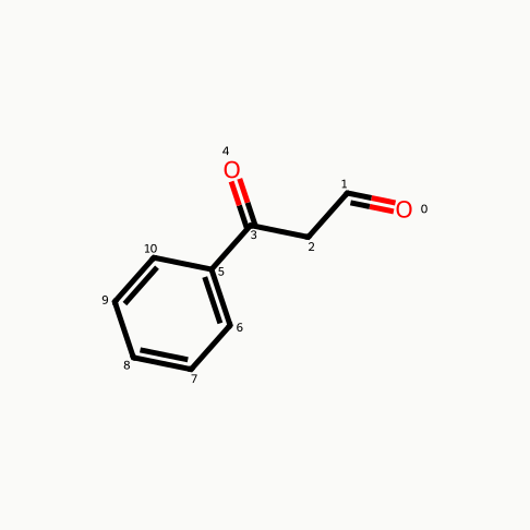 O=CCC(=O)c1ccccc1